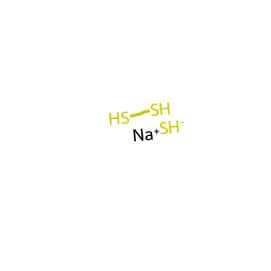 SS.[Na+].[SH-]